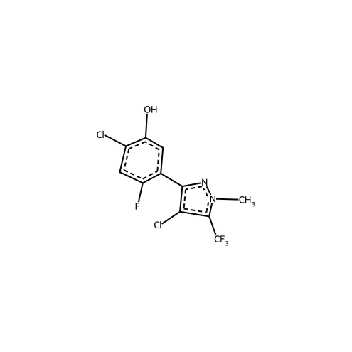 Cn1nc(-c2cc(O)c(Cl)cc2F)c(Cl)c1C(F)(F)F